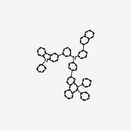 c1ccc(-c2c(-c3ccccc3)c3cc(-c4ccc(N(c5cccc(-c6ccc7ccccc7c6)c5)c5cccc(-c6ccc7c(c6)c6ccccc6n7-c6ccccc6)c5)cc4)ccc3c3ccccc23)cc1